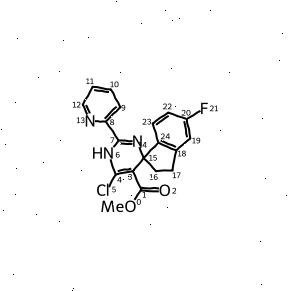 COC(=O)C1=C(Cl)NC(c2ccccn2)=NC12CCc1cc(F)ccc12